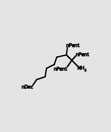 CCCCCCCCCCCCCCCC(CCCCC)C(N)(CCCCC)CCCCC